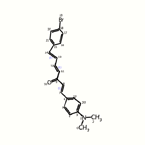 CN(C)c1ccc(/C=C/C(=O)/C=C/C=C/c2ccc(Br)cc2)cc1